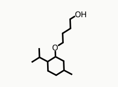 CC1CCC(C(C)C)C(OCCCCO)C1